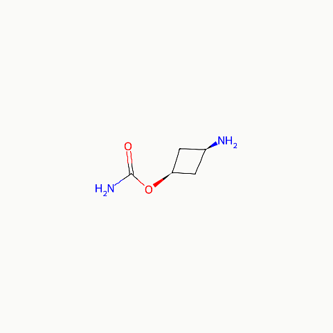 NC(=O)O[C@H]1C[C@@H](N)C1